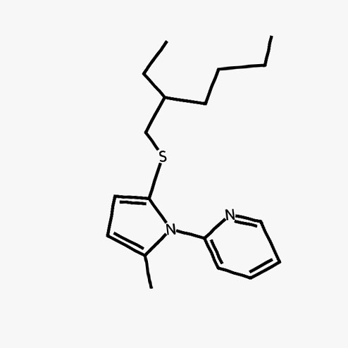 CCCCC(CC)CSc1ccc(C)n1-c1ccccn1